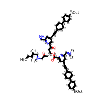 C=C/C=C(\C)CN(C)CC(=O)C[C@H](CC(=O)c1cc(C#CC2=CCC(c3ccc(CCCCCCCC)cc3)C=C2)cc(CN)n1)OC(=O)c1cc(C#Cc2ccc(-c3ccc(CCCCCCCC)cc3)cc2)cc(CN(CC)CC)n1